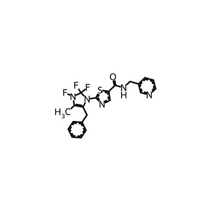 CC1=C(Cc2ccccc2)N(c2ncc(C(=O)NCc3cccnc3)s2)C(F)(F)N1F